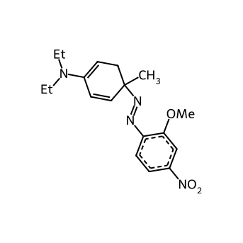 CCN(CC)C1=CCC(C)(N=Nc2ccc([N+](=O)[O-])cc2OC)C=C1